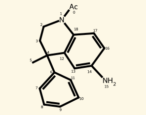 CC(=O)N1CCC(C)(c2ccccc2)c2cc(N)ccc21